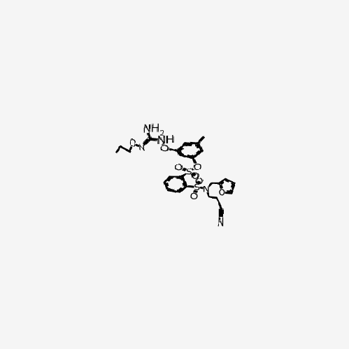 CCCON=C(N)NOc1cc(C)cc(OS(=O)(=O)c2ccccc2S(=O)(=O)N(CCC#N)Cc2ccco2)c1